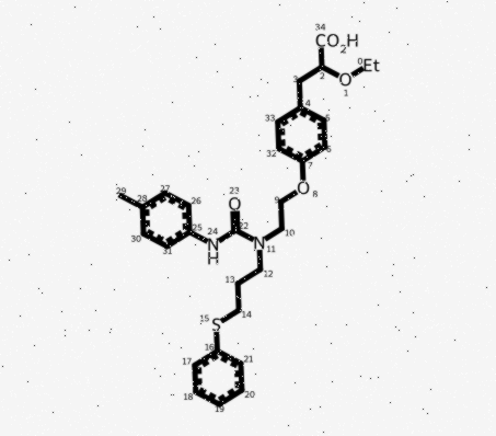 CCOC(Cc1ccc(OCCN(CCCSc2ccccc2)C(=O)Nc2ccc(C)cc2)cc1)C(=O)O